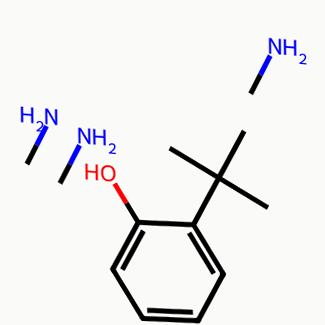 CC(C)(C)c1ccccc1O.CN.CN.CN